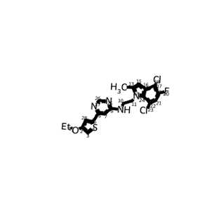 CCOc1csc(-c2cc(NCCn3c(C)cc4c(Cl)c(F)cc(Cl)c43)ncn2)c1